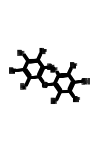 Sc1c(Br)c(Br)c(Oc2c(Br)c(Br)c(Br)c(Br)c2Br)c(Br)c1Br